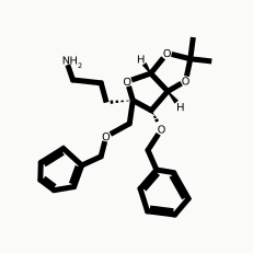 CC1(C)O[C@H]2O[C@](CCCN)(COCc3ccccc3)[C@@H](OCc3ccccc3)[C@H]2O1